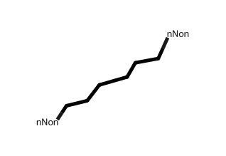 [CH2]CCCCCCCCCCCCCCCCCCCCCCC